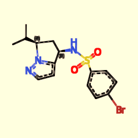 CC(C)[C@H]1C[C@@H](NS(=O)(=O)c2ccc(Br)cc2)c2ccnn21